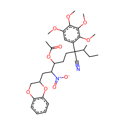 CCC(C)C(C#N)(CCC(OC(C)=O)C(CC1COc2ccccc2O1)[N+](=O)[O-])c1cc(OC)c(OC)c(OC)c1OC